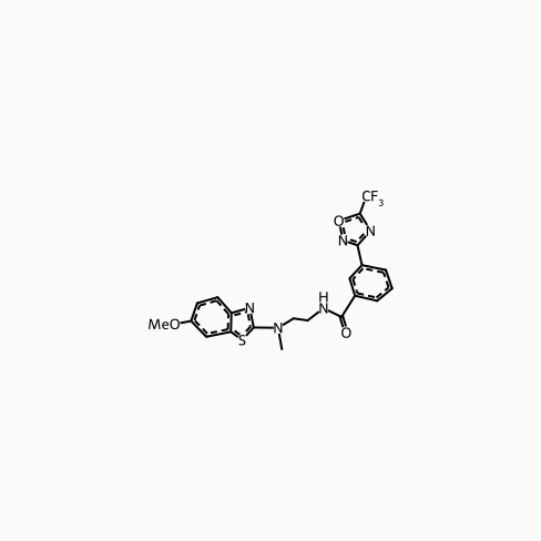 COc1ccc2nc(N(C)CCNC(=O)c3cccc(-c4noc(C(F)(F)F)n4)c3)sc2c1